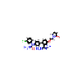 NC(=O)N(c1ccc(-c2ccc(OCCN3CCCC3=O)c3[nH]nc(N)c23)cc1)c1cccc(Cl)c1